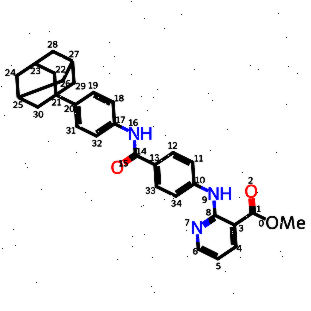 COC(=O)c1cccnc1Nc1ccc(C(=O)Nc2ccc(C34CC5CC(CC(C5)C3)C4)cc2)cc1